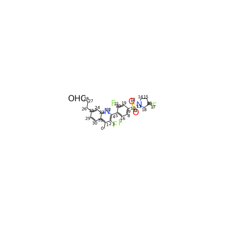 Cc1c(F)c(-c2c(F)cc(S(=O)(=O)N3CC[C@H](F)C3)cc2F)nc2cc(CCC=O)ccc12